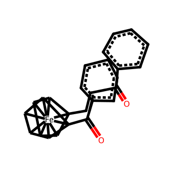 O=C(C=C[C]12[CH]3[CH]4[CH]5[CH]1[Fe]45321678[CH]2[CH]1[CH]6[C]7(C(=O)c1ccccc1)[CH]28)c1ccccc1